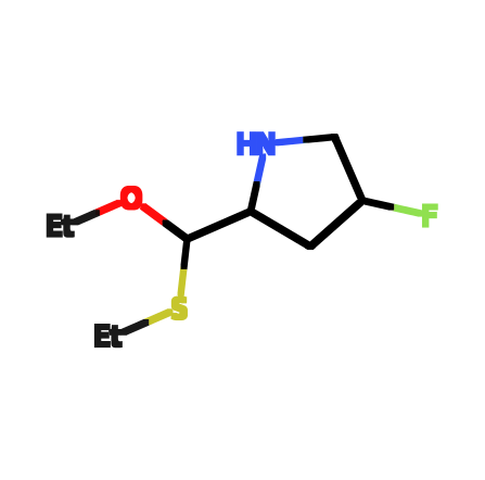 CCOC(SCC)C1CC(F)CN1